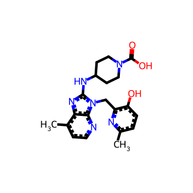 Cc1ccc(O)c(Cn2c(NC3CCN(C(=O)O)CC3)nc3c(C)ccnc32)n1